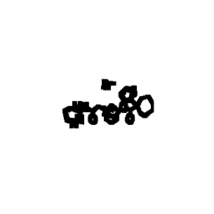 O=C(C[N+]12CCC(CC1)C(OC(=O)C1(c3cccs3)CCCCCC1)C2)Nc1cccnn1.[Br-]